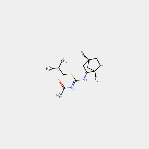 CC(=O)/N=C(/N[C@H]1C[C@@H]2CC[C@H]1C2)SCC(C)C